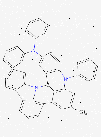 Cc1cc2c3c(c1)N(c1ccccc1)c1ccc(N(c4ccccc4)c4ccccc4)cc1B3n1c3ccccc3c3cccc-2c31